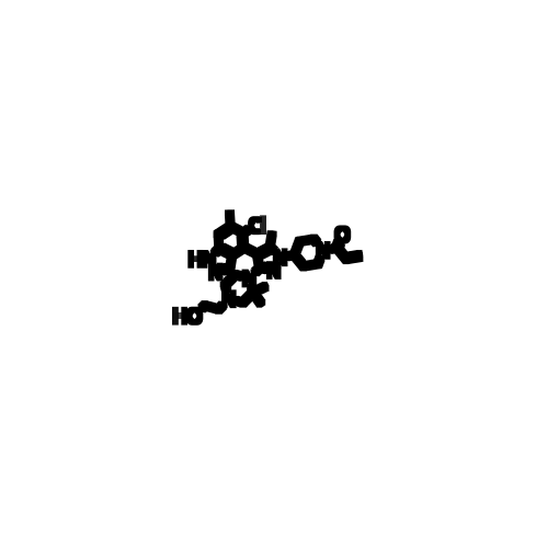 C=CC(=O)N1CCC(n2nc(N3CCN(CCO)CC3(C)C)c(-c3c(Cl)c(C)cc4[nH]ncc34)c2C)CC1